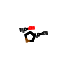 C1CCSC1.CC#N.CO